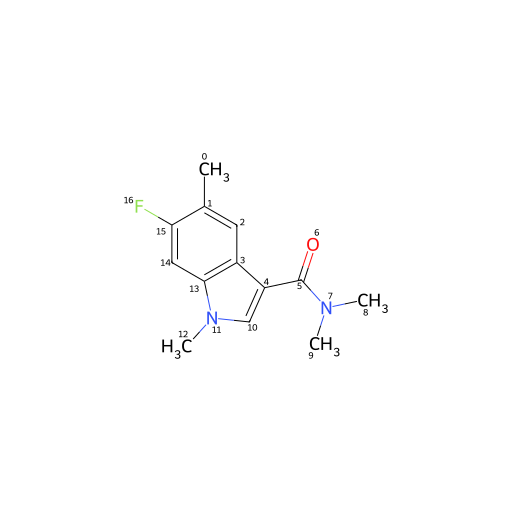 Cc1cc2c(C(=O)N(C)C)cn(C)c2cc1F